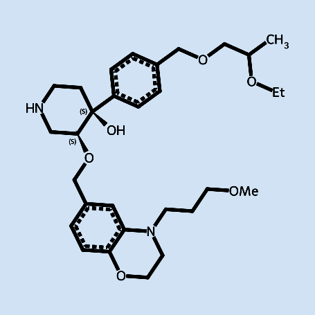 CCOC(C)COCc1ccc([C@@]2(O)CCNC[C@@H]2OCc2ccc3c(c2)N(CCCOC)CCO3)cc1